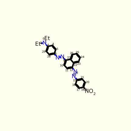 CCN(CC)c1ccc(/N=N/c2ccc(/N=N/c3ccc([N+](=O)[O-])cc3)c3ccccc23)cc1